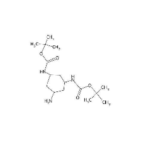 CC(C)(C)OC(=O)NC1CC(N)CC(NC(=O)OC(C)(C)C)C1